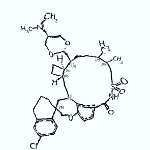 C[C@@H]1CC[C@H]([C@H]2OC[C@H](N(C)C)CO2)[C@@H]2CC[C@H]2CN2C[C@@]3(CCCc4cc(Cl)ccc43)COc3ccc(cc32)C(=O)NS(=O)(=O)C[C@@H]1C